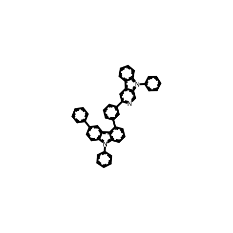 c1ccc(-c2ccc3c(c2)c2c(-c4cccc(-c5cc6c7ccccc7n(-c7ccccc7)c6cn5)c4)cccc2n3-c2ccccc2)cc1